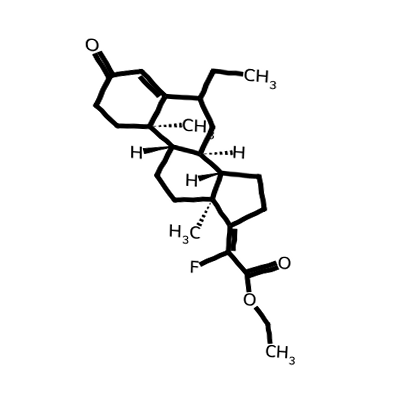 CCOC(=O)C(F)=C1CC[C@H]2[C@@H]3CC(CC)C4=CC(=O)CC[C@]4(C)[C@H]3CC[C@]12C